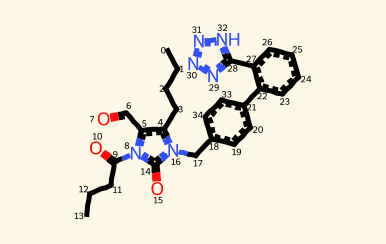 CCCCc1c(C=O)n(C(=O)CCC)c(=O)n1Cc1ccc(-c2ccccc2-c2nnn[nH]2)cc1